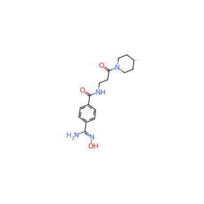 NC(=NO)c1ccc(C(=O)NCCC(=O)N2CC[CH]CC2)cc1